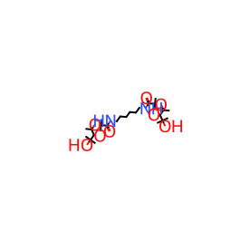 CC(OC(C)(C)C(=O)NCCCCCCNC(=O)C(C)(C)OC(C)C(=O)C(C)(C)O)C(=O)C(C)(C)O